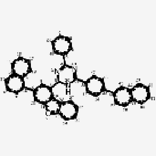 c1ccc(C2=NC(c3cc(-c4cccc5ccccc45)cc4oc5ccccc5c34)NC(c3ccc(-c4ccc5ccccc5c4)cc3)=N2)cc1